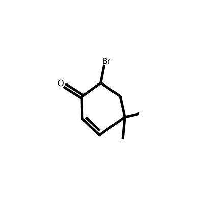 CC1(C)C=CC(=O)C(Br)C1